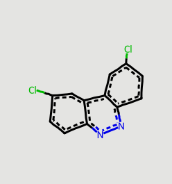 Clc1ccc2nnc3ccc(Cl)cc3c2c1